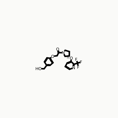 O=C(COc1ccc(CO)cc1)N1CC[C@H](Oc2cccnc2C(F)(F)F)C1